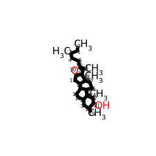 CCC(C)CCC1=C(C)C2C(CC3C4CCC5CC(C)C(O)CC5(C)C4CCC32C)O1